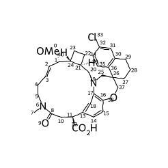 CO[C@H]1/C=C/CCN(C)C(=O)C[C@H](C(=O)O)c2ccc3c(c2)N(C[C@@H]2CC[C@H]21)C[C@@]1(CCCc2cc(Cl)ccc21)CO3